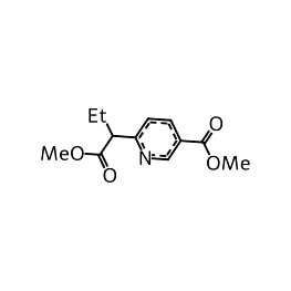 CCC(C(=O)OC)c1ccc(C(=O)OC)cn1